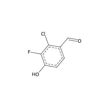 O=Cc1ccc(O)c(F)c1Cl